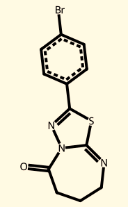 O=C1CCCN=C2SC(c3ccc(Br)cc3)=NN12